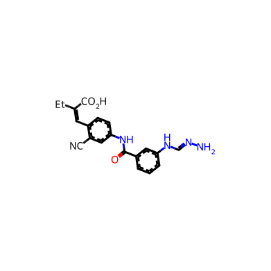 CCC(=Cc1ccc(NC(=O)c2cccc(NC=NN)c2)cc1C#N)C(=O)O